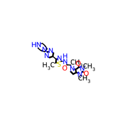 Cc1sc(NC(=O)[C@H](C)n2ccc3c2c(=O)n(C)c(=O)n3C)nc1-c1cnc(N2C3CCC2CNC3)nc1